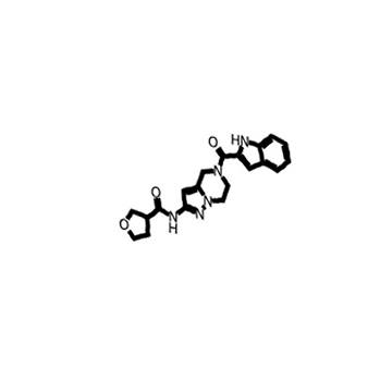 O=C(Nc1cc2n(n1)CCN(C(=O)c1cc3ccccc3[nH]1)C2)C1CCOC1